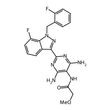 COCC(=O)Nc1c(N)nc(-c2nn(Cc3ccccc3F)c3c(F)cccc23)nc1N